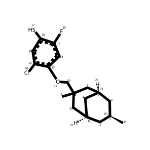 C[C@H]1C[C@@H]2C[C@H](C1)CC(C)(COc1cc(F)c(S)cc1Cl)C2